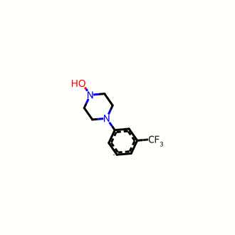 ON1CCN(c2c[c]cc(C(F)(F)F)c2)CC1